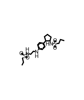 CCCS(=O)(=O)NCCNc1ccc(C2CCCC2NS(=O)(=O)CCC)cc1